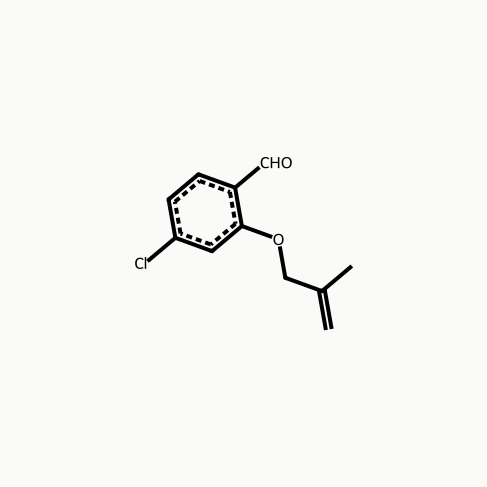 C=C(C)COc1cc(Cl)ccc1C=O